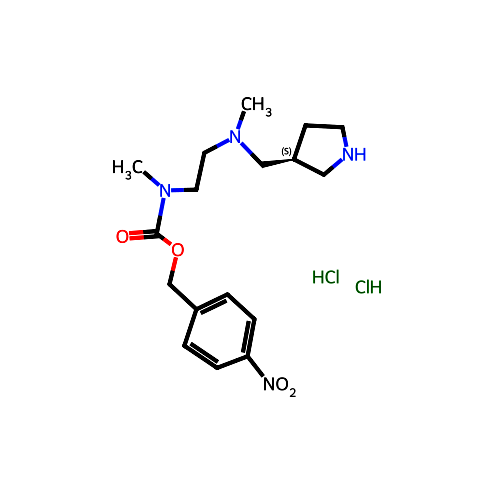 CN(CCN(C)C(=O)OCc1ccc([N+](=O)[O-])cc1)C[C@H]1CCNC1.Cl.Cl